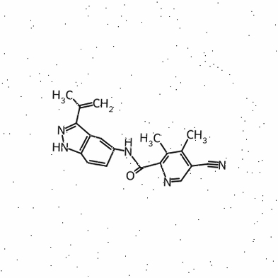 C=C(C)c1n[nH]c2ccc(NC(=O)c3ncc(C#N)c(C)c3C)cc12